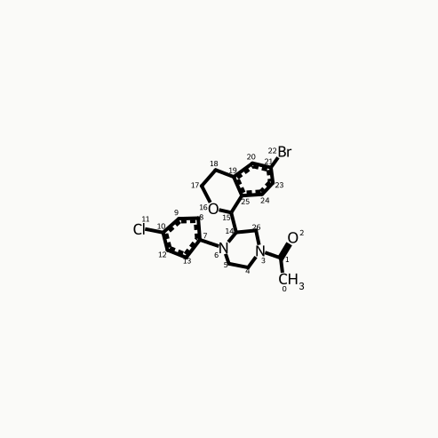 CC(=O)N1CCN(c2ccc(Cl)cc2)C(C2OCCc3cc(Br)ccc32)C1